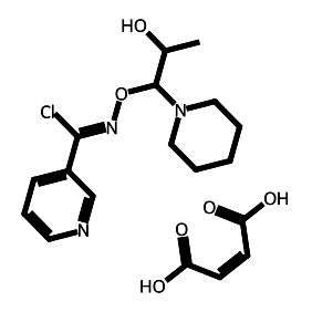 CC(O)C(ON=C(Cl)c1cccnc1)N1CCCCC1.O=C(O)/C=C\C(=O)O